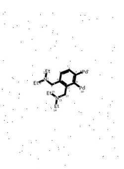 CCN(CC)Cc1cc[c]([Pd])[c]([Pd])c1CN(CC)CC